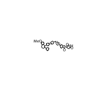 COc1ccc2c(c1)CCCC(c1ccccc1)=C2c1ccc(N2CCC(CN3CCN(c4ccc5c(c4)CN([C@@H]4CCC(=O)NC4=O)C5=O)CC3)CC2)cc1